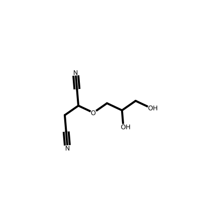 N#CCC(C#N)OCC(O)CO